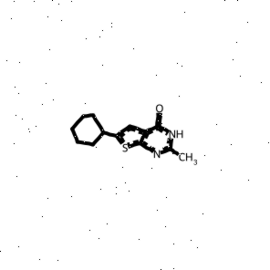 Cc1nc2sc(C3CCCCC3)cc2c(=O)[nH]1